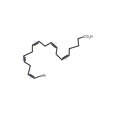 CCC/C=C\C/C=C\C/C=C\C/C=C\C/C=C\CCCC(=O)O